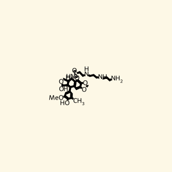 COc1cc(C2c3cc4c(cc3[C@@H](NS(=O)(=O)CCNCCCNCCCN)[C@H]3COC(=O)[C@H]23)OCO4)cc(C)c1O